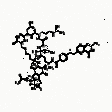 CO[C@@]12[C@H](COC(N)=O)C3=C(C(=O)C(C)=C(NC(C)(C)CCSSC[C@H](NC(=O)[C@H](CC(=O)O)NC(=O)[C@H](CCCNC(=N)N)NC(=O)[C@H](CC(=O)O)NC(C)(C)C(=O)CC[C@@H](C)NC(=O)c4ccc(NCc5cnc6nc(N)[nH]c(=O)c6n5)cc4)C(=O)O)C3=O)N1C[C@@H]1N[C@@H]12